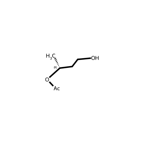 CC(=O)O[C@H](C)CCO